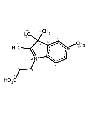 CC1=[N+](CCC(=O)O)c2ccc(C)cc2C1(C)C